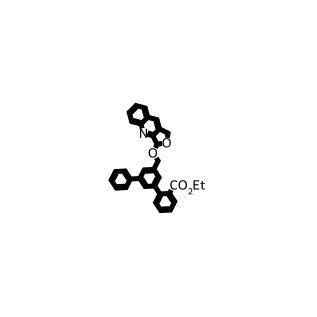 CCOC(=O)c1ccccc1-c1cc(COC2OCc3cc4ccccc4nc32)cc(-c2ccccc2)c1